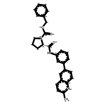 Cc1ccc2cc(-c3cccc(NC(=O)[C@@H]4CCCN4C(=O)OCc4ccccc4)c3)ccc2n1